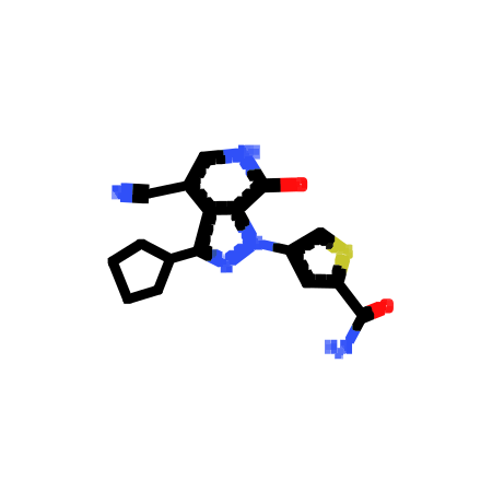 N#Cc1c[nH]c(=O)c2c1c(C1CCCC1)nn2-c1csc(C(N)=O)c1